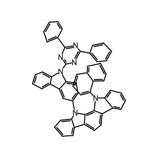 c1ccc(-c2nc(-c3ccccc3)nc(-n3c4ccccc4c4cc(-n5c6ccccc6c6ccc7c8ccccc8n(-c8cccc9ccccc89)c7c65)ccc43)n2)cc1